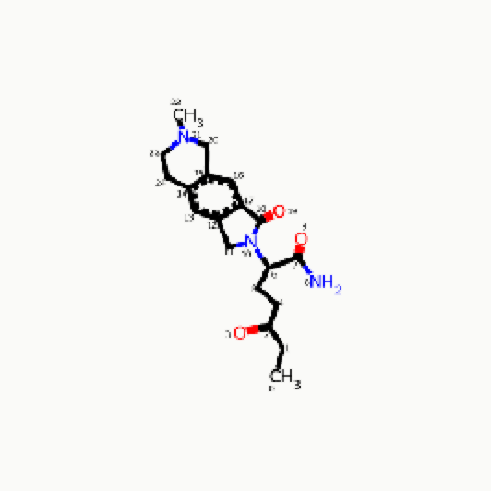 CCC(=O)CCC(C(N)=O)N1Cc2cc3c(cc2C1=O)CN(C)CC3